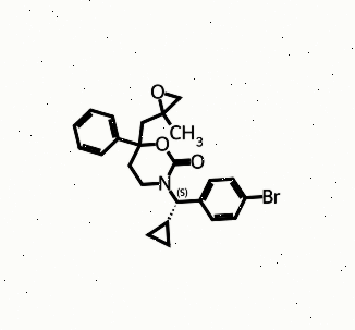 CC1(CC2(c3ccccc3)CCN([C@H](c3ccc(Br)cc3)C3CC3)C(=O)O2)CO1